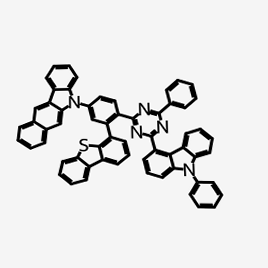 c1ccc(-c2nc(-c3ccc(-n4c5ccccc5c5cc6ccccc6cc54)cc3-c3cccc4c3sc3ccccc34)nc(-c3cccc4c3c3ccccc3n4-c3ccccc3)n2)cc1